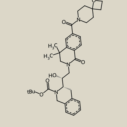 CC(C)(C)OC(=O)N1Cc2ccccc2C[C@H]1[C@H](O)CN1CC(C)(C)c2cc(C(=O)N3CCC4(CCO4)CC3)ccc2C1=O